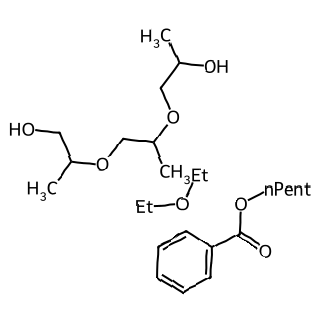 CC(O)COC(C)COC(C)CO.CCCCCOC(=O)c1ccccc1.CCOCC